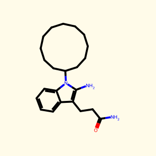 NC(=O)CCc1c(N)n(C2CCCCCCCCCCC2)c2ccccc12